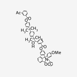 COc1ccc(C2(c3ccc(OC(=O)c4cccc(C(O)C(C)(C)c5ccc(C(C)(C)c6ccc(OC(=O)c7cccc(C(C)=O)c7)cc6)cc5)c4)cc3)c3ccccc3C(=O)N2Cc2ccco2)cc1